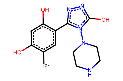 CC(C)c1cc(-c2nnc(O)n2N2CCNCC2)c(O)cc1O